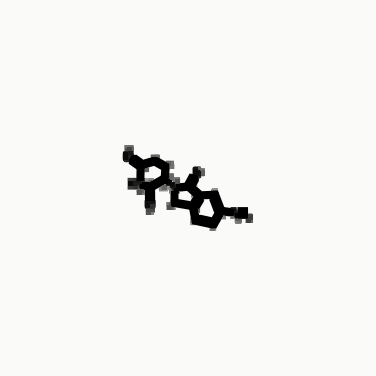 Nc1ccc2c(c1)C(=S)N([C@H]1CCC(=O)NC1=O)C2